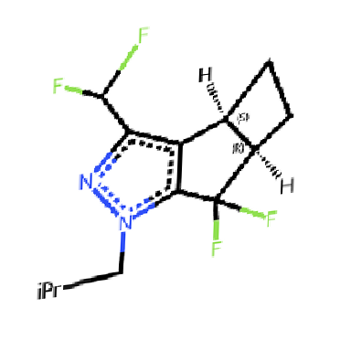 CC(C)Cn1nc(C(F)F)c2c1C(F)(F)[C@@H]1CC[C@H]21